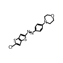 Clc1cc2sc(N=Nc3ccc(N4CCOCC4)cc3)cc2s1